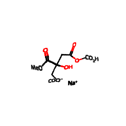 COC(=O)C(O)(CC(=O)[O-])CC(=O)OC(=O)O.[Na+]